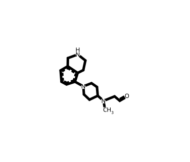 CN(CC=O)C1CCN(c2cccc3c2CCNC3)CC1